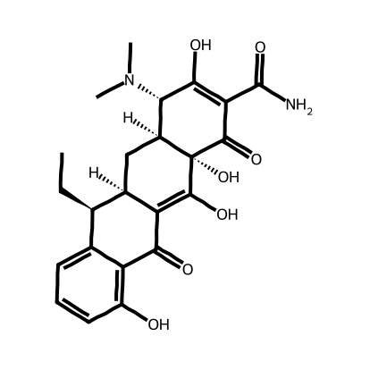 CC[C@@H]1c2cccc(O)c2C(=O)C2=C(O)[C@]3(O)C(=O)C(C(N)=O)=C(O)[C@@H](N(C)C)[C@@H]3C[C@@H]21